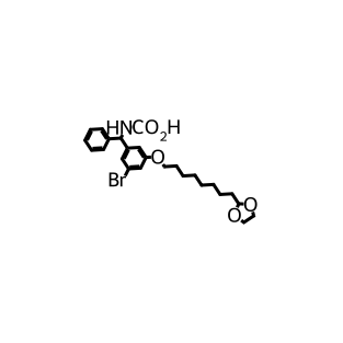 O=C(O)NC(c1ccccc1)c1cc(Br)cc(OCCCCCCCCC2OCCO2)c1